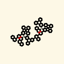 c1ccc2c(c1)-c1ccccc1C21c2ccccc2-c2cc(-c3ccc(-c4cccc5ccccc45)cc3)c(N(c3ccc4ccc5ccccc5c4c3)c3ccc4c5cc(-c6ccc(-c7ccc(-c8cc9c(cc8N(c8ccc%10c%11ccccc%11c%11ccccc%11c%10c8)c8cccc%10ccccc8%10)C8(c%10ccccc%10-c%10ccccc%108)c8ccccc8-9)cc7)c7ccccc67)ccc5c5ccccc5c4c3)cc21